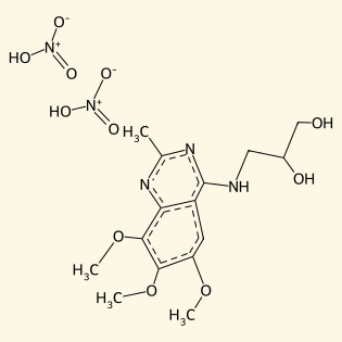 COc1cc2c(NCC(O)CO)nc(C)nc2c(OC)c1OC.O=[N+]([O-])O.O=[N+]([O-])O